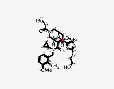 COc1cccc(CN(C(=O)C2=C(c3cnc(OCCO)s3)CC3CN(C(=O)OC(C)(C)C)C[C@H]2N3C(=O)OC(C)(C)C)C2CC2)c1C